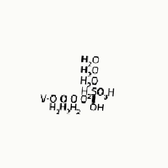 O.O.O.O.O.O.O.O=S(=O)(O)O.[V]